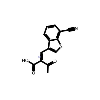 CC(=O)/C(=C\c1csc2c(C#N)cccc12)C(=O)O